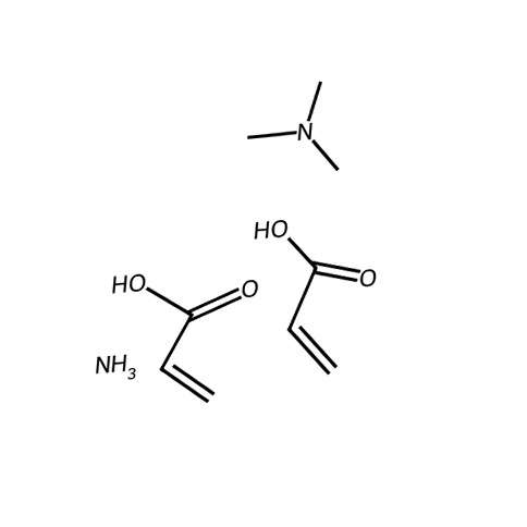 C=CC(=O)O.C=CC(=O)O.CN(C)C.N